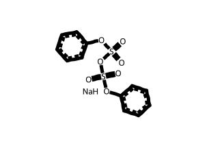 O=S(=O)(Oc1ccccc1)OS(=O)(=O)Oc1ccccc1.[NaH]